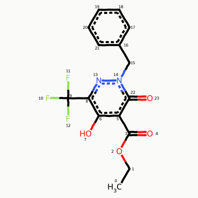 CCOC(=O)c1c(O)c(C(F)(F)F)nn(Cc2ccccc2)c1=O